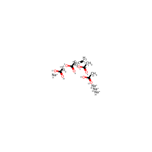 C=C.CC(=O)[O-].CC(=O)[O-].CC(=O)[O-].CC(=O)[O-].[Na+].[Na+].[Na+].[Na+]